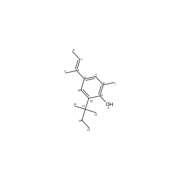 C/C=C(\C)c1cc(C)c(O)c(C(C)(C)CC)c1